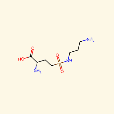 NCCCNS(=O)(=O)CC[C@H](N)C(=O)O